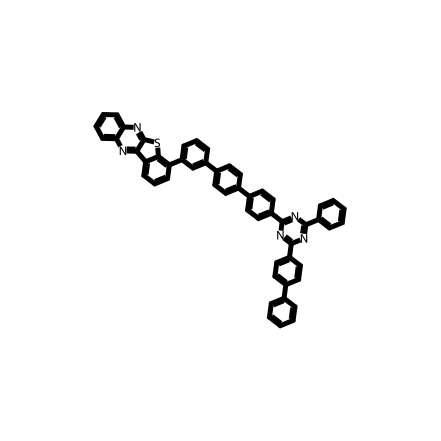 c1ccc(-c2ccc(-c3nc(-c4ccccc4)nc(-c4ccc(-c5ccc(-c6cccc(-c7cccc8c7sc7nc9ccccc9nc78)c6)cc5)cc4)n3)cc2)cc1